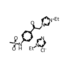 CC[n+]1ccn(CC(=O)c2ccc(NS(C)(=O)=O)cc2)c1.CCn1ccnc1.[Cl-]